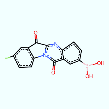 O=C1c2cc(F)ccc2-n2c1nc1ccc(B(O)O)cc1c2=O